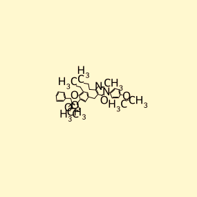 CCCCc1nc(C)n(-c2ccc(OC(C)C)cc2)c(=O)c1Cc1cc(CCC)c(OC(C(=O)OC)c2ccccc2)c(CCC)c1